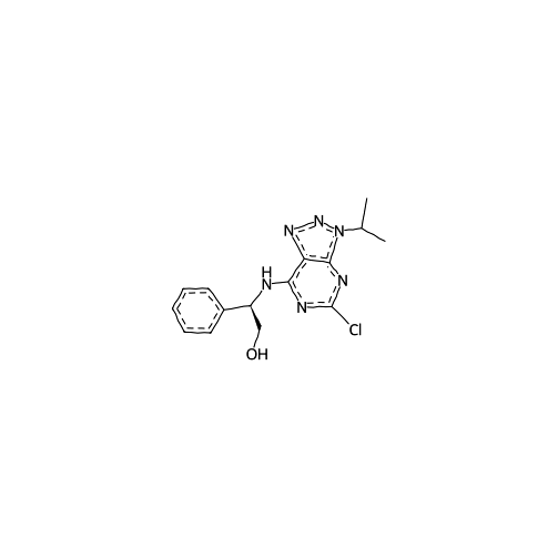 CC(C)n1nnc2c(N[C@@H](CO)c3ccccc3)nc(Cl)nc21